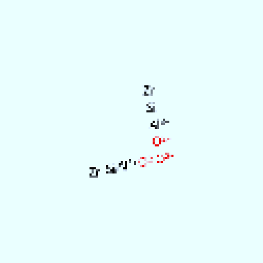 [Al+3].[Al+3].[O-2].[O-2].[O-2].[Si].[Si].[Zr].[Zr]